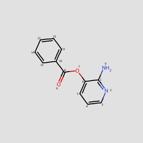 Nc1ncccc1OC(=O)c1ccccc1